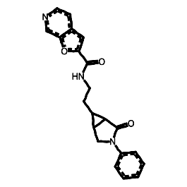 O=C(NCCC1C2CN(c3ccccc3)C(=O)C12)c1cc2ccncc2o1